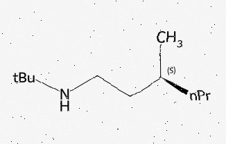 CCC[C@H](C)CCNC(C)(C)C